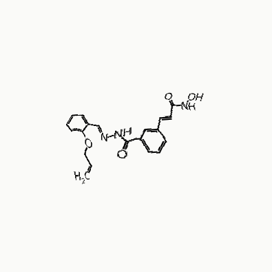 C=CCOc1ccccc1/C=N/NC(=O)c1cccc(/C=C/C(=O)NO)c1